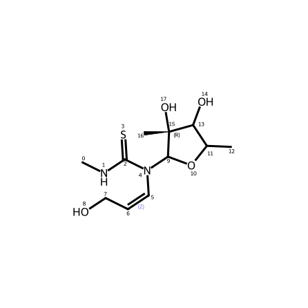 CNC(=S)N(/C=C\CO)C1OC(C)C(O)[C@@]1(C)O